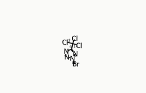 ClC(Cl)(Cl)c1nnn(Br)n1